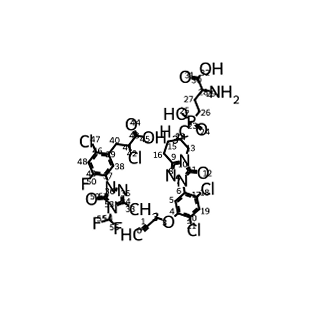 C#CCOc1cc(-n2nc3n(c2=O)CCCC3)c(Cl)cc1Cl.CP(=O)(O)CCC(N)C(=O)O.Cc1nn(-c2cc(CC(Cl)C(=O)O)c(Cl)cc2F)c(=O)n1C(F)F